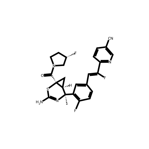 C[C@]1(c2cc(/C=C(\F)c3ccc(C#N)cn3)ccc2F)N=C(N)S[C@@]2(C(=O)N3CC[C@H](F)C3)C[C@H]21